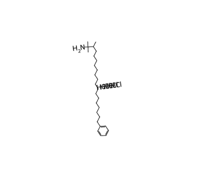 CC(CCCCCCCCCCCCCCCCc1ccccc1)C(C)(C)N.Cl.Cl.Cl.Cl.Cl